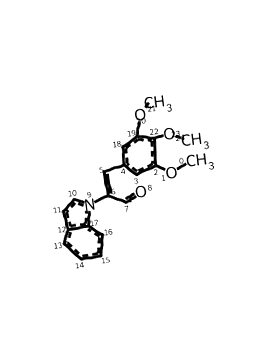 COc1cc(C=C([C]=O)n2ccc3ccccc32)cc(OC)c1OC